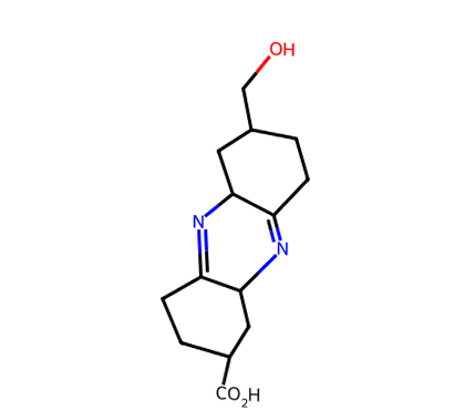 O=C(O)C1CCC2=NC3CC(CO)CCC3=NC2C1